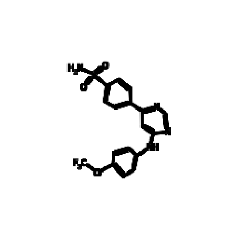 NS(=O)(=O)c1ccc(-c2cc(Nc3ccc(OC(F)(F)F)cc3)ncn2)cc1